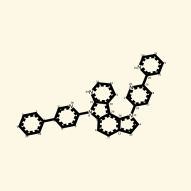 c1ccc(-c2ccc(-n3c4ccc5ccn(-c6ccc(-c7ccccn7)nc6)c5c4c4cccnc43)nc2)cc1